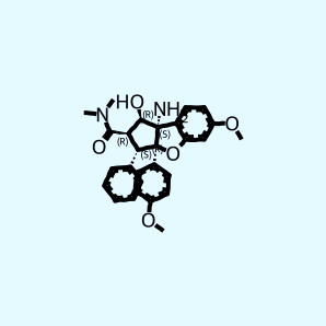 COc1ccc([C@@]23Oc4cc(OC)ccc4[C@]2(N)[C@H](O)[C@H](C(=O)N(C)C)[C@H]3c2ccccc2)cc1